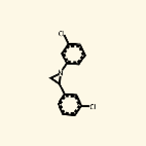 Clc1cccc(C2CN2c2cccc(Cl)c2)c1